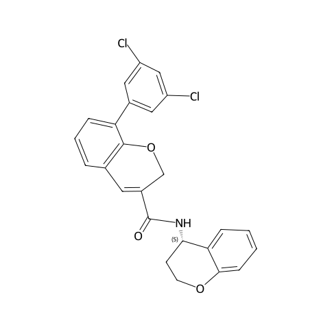 O=C(N[C@H]1CCOc2ccccc21)C1=Cc2cccc(-c3cc(Cl)cc(Cl)c3)c2OC1